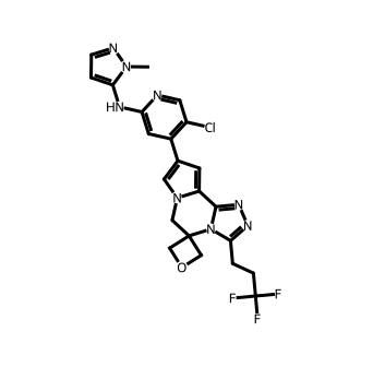 Cn1nccc1Nc1cc(-c2cc3n(c2)CC2(COC2)n2c(CCC(F)(F)F)nnc2-3)c(Cl)cn1